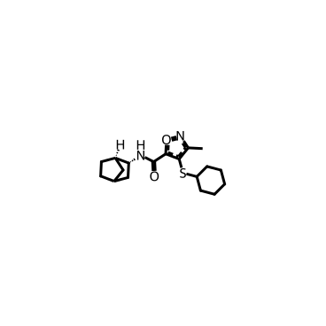 Cc1noc(C(=O)N[C@@H]2CC3CC[C@@H]2C3)c1SC1CCCCC1